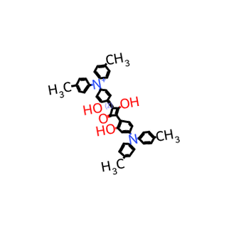 Cc1ccc(N(c2ccc(C)cc2)c2ccc(C3=C(O)/C(=C4\C=CC(=[N+](c5ccc(C)cc5)c5ccc(C)cc5)C=C4O)C3=O)c(O)c2)cc1